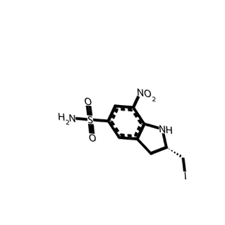 NS(=O)(=O)c1cc2c(c([N+](=O)[O-])c1)N[C@H](CI)C2